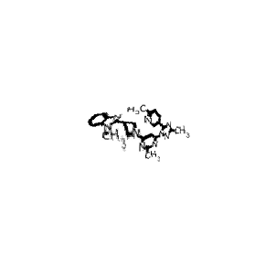 Cc1ccc(-c2nc(C)nn2-c2cc(N3CC(c4nc5ccccc5n4C)C3)nc(C)n2)cn1